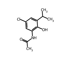 CC(=O)Nc1cc(Cl)cc(C(C)C)c1O